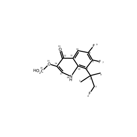 CC(C)(CF)c1c(F)c(F)cc2c(=O)c(OC(=O)O)c[nH]c12